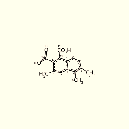 Cc1cc2c(C)c(C)ccc2c(C(=O)O)c1I(=O)=O